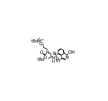 CCc1cnc(O)c2cccc(S(=O)(=O)NC(C)CN(CCCO[Si](C)(C)C(C)(C)C)C(=O)OC(C)(C)C)c12